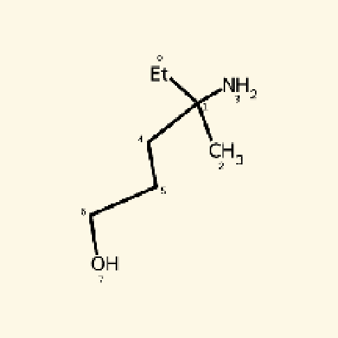 CCC(C)(N)CCCO